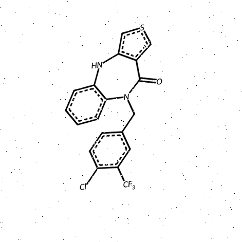 O=C1c2cscc2Nc2ccccc2N1Cc1ccc(Cl)c(C(F)(F)F)c1